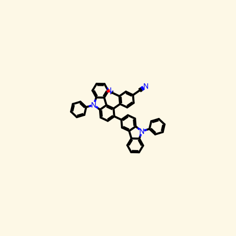 N#Cc1ccc(-c2c(-c3ccc4c(c3)c3ccccc3n4-c3ccccc3)ccc3c2c2ccccc2n3-c2ccccc2)c(C#N)c1